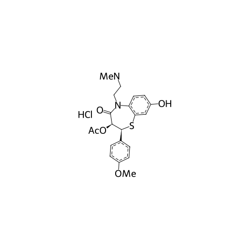 CNCCN1C(=O)[C@H](OC(C)=O)[C@H](c2ccc(OC)cc2)Sc2cc(O)ccc21.Cl